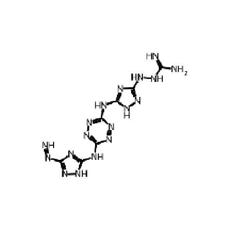 N=Nc1n[nH]c(Nc2nnc(Nc3nc(NNC(=N)N)n[nH]3)nn2)n1